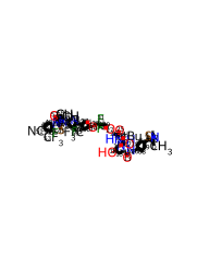 Cc1ncsc1-c1ccc(CNC(=O)[C@@H]2C[C@@H](O)CN2C(=O)[C@@H](NC(=O)COCCC(F)(F)COc2ccc(-c3ncc(N4C(=S)N(c5ccc(C#N)c(C(F)(F)F)c5F)C(=O)C4(C)C)cc3F)c(C(F)(F)F)c2)C(C)(C)C)cc1